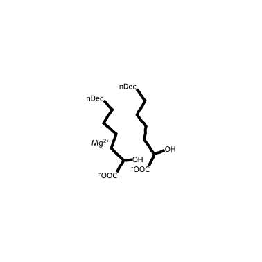 CCCCCCCCCCCCCCC(O)C(=O)[O-].CCCCCCCCCCCCCCC(O)C(=O)[O-].[Mg+2]